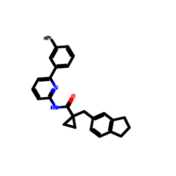 CCCc1cccc(-c2cccc(NC(=O)C3(Cc4ccc5c(c4)CCC5)CC3)n2)c1